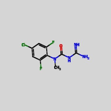 CN(C(=O)NC(=N)N)c1c(F)cc(Cl)cc1F